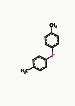 Cc1ccc([I+]c2ccc(C)cc2)cc1